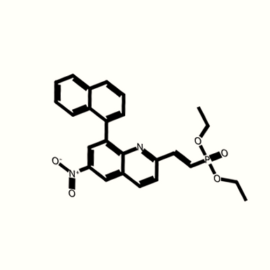 CCOP(=O)(C=Cc1ccc2cc([N+](=O)[O-])cc(-c3cccc4ccccc34)c2n1)OCC